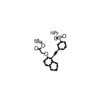 CCCS(=O)(=O)c1cccc(C#Cc2c(OCC(=O)OC(C)(C)C)ccc3ccccc23)c1